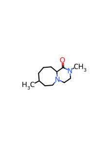 CC1CCCC2C(=O)N(C)CCN2CC1